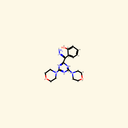 NN=C(c1nc(N2CCOCC2)nc(N2CCOCC2)n1)c1ccccc1O